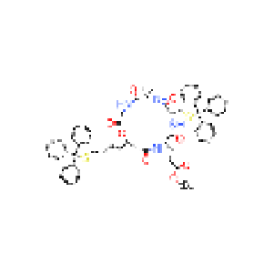 CC(C)(C)OC(=O)CC[C@H]1NC(=O)C[C@@H](C=CCCSC(c2ccccc2)(c2ccccc2)c2ccccc2)OC(=O)CNC(=O)C2(CC2)NC(=O)[C@@H](CSC(c2ccccc2)(c2ccccc2)c2ccccc2)NC1=O